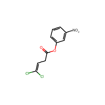 O=C(CC=C(Cl)Cl)Oc1cccc([N+](=O)[O-])c1